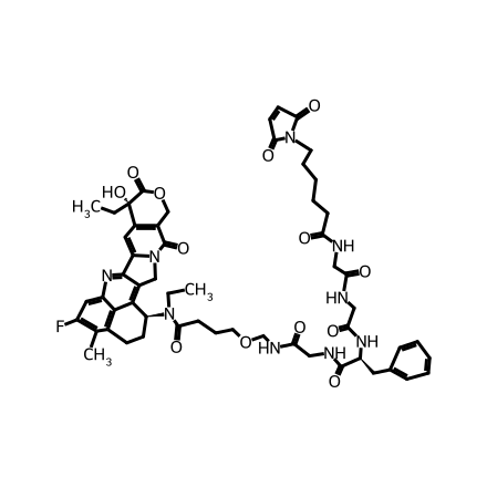 CCN(C(=O)CCCOCNC(=O)CNC(=O)[C@H](Cc1ccccc1)NC(=O)CNC(=O)CNC(=O)CCCCCN1C(=O)C=CC1=O)[C@H]1CCc2c(C)c(F)cc3nc4c(c1c23)Cn1c-4cc2c(c1=O)COC(=O)[C@]2(O)CC